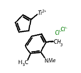 CNc1c(C)cccc1C.[Cl-].[Cl-].[Ti+2][C]1=CC=CC1